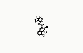 C[C@H](Nc1ncnc2scnc12)c1cc2cccc(Cl)c2c(=O)n1C1CC1